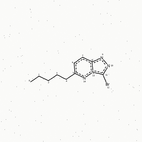 CCCCCc1ccc2nnc(Br)n2n1